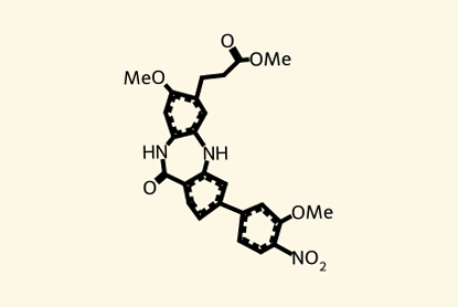 COC(=O)CCc1cc2c(cc1OC)NC(=O)c1ccc(-c3ccc([N+](=O)[O-])c(OC)c3)cc1N2